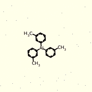 Cc1ccc[c]([Al]([c]2cccc(C)c2)[c]2cccc(C)c2)c1